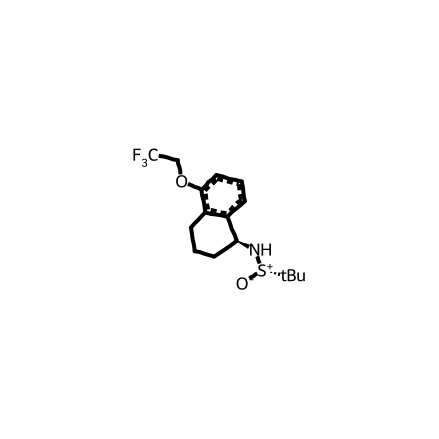 CC(C)(C)[S@+]([O-])N[C@H]1CCCc2c(OCC(F)(F)F)cccc21